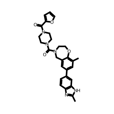 Cc1nc2ccc(-c3cc(C)c4c(c3)CN(C(=O)N3CCN(C(=O)c5ccco5)CC3)CCO4)cc2[nH]1